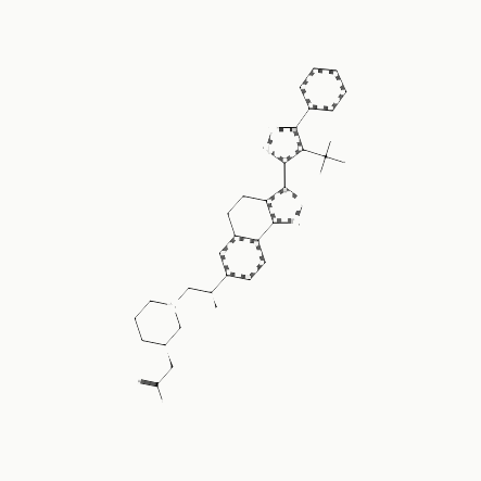 O=C(O)C[C@H]1CCCN(C[C@H](O)c2ccc3c(c2)CCc2c-3noc2-c2noc(-c3ccccc3)c2C(F)(F)F)C1